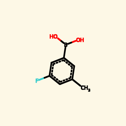 Cc1cc(F)cc(B(O)O)c1